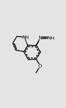 COc1cc2c(c(N=N)c1)NCC=C2